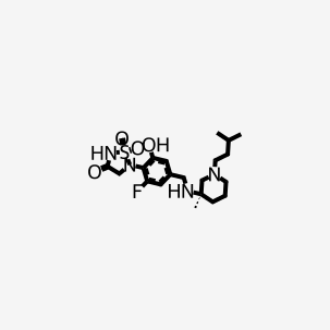 CC(C)CCN1CCC[C@@](C)(NCc2cc(O)c(N3CC(=O)NS3(=O)=O)c(F)c2)C1